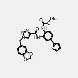 CC(C)(C)OC(=O)Nc1ccc(-c2cccs2)cc1NC(=O)c1cn(Cc2ccc3c(c2)OCO3)nn1